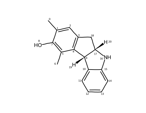 Cc1cc2c(c(C)c1O)[C@H]1c3ccccc3N[C@H]1C2